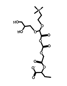 CCC(OC(=O)COC(=O)OC(=O)C(OCC[N+](C)(C)C)OCC(O)CO)C(=O)[O-]